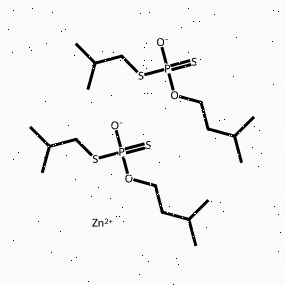 CC(C)CCOP([O-])(=S)SCC(C)C.CC(C)CCOP([O-])(=S)SCC(C)C.[Zn+2]